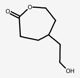 O=C1CCC(CCO)CCO1